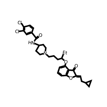 CCC(CCCN1CCC(NC(=O)c2ccc(Cl)c(Cl)c2)CC1)Oc1cccc2c1C(=O)C(=CCC1CC1)O2